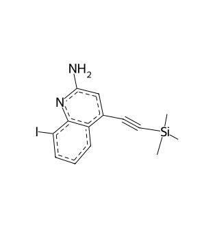 C[Si](C)(C)C#Cc1cc(N)nc2c(I)cccc12